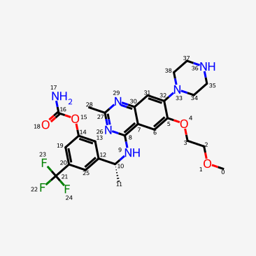 COCCOc1cc2c(N[C@H](C)c3cc(OC(N)=O)cc(C(F)(F)F)c3)nc(C)nc2cc1N1CCNCC1